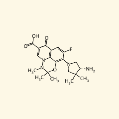 CN1n2cc(C(=O)O)c(=O)c3cc(F)c(N4C[C@H](N)C(C)(C)C4)c(c32)OC1(C)C